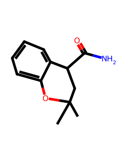 CC1(C)CC(C(N)=O)c2ccccc2O1